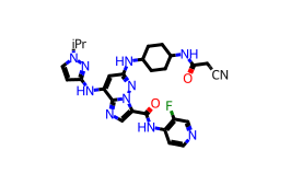 CC(C)n1ccc(Nc2cc(NC3CCC(NC(=O)CC#N)CC3)nn3c(C(=O)Nc4ccncc4F)cnc23)n1